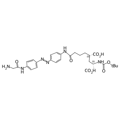 CC(C)(C)OC(=O)N[C@@H](C[C@H](CCCC(=O)Nc1ccc(N=Nc2ccc(NC(=O)CN)cc2)cc1)C(=O)O)C(=O)O